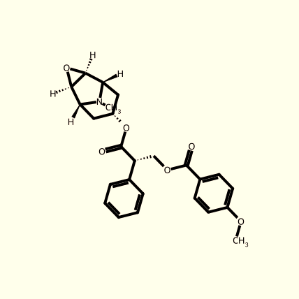 COc1ccc(C(=O)OC[C@@H](C(=O)O[C@@H]2C[C@@H]3[C@H]4O[C@H]4[C@H](C2)N3C)c2ccccc2)cc1